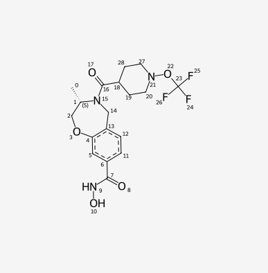 C[C@H]1COc2cc(C(=O)NO)ccc2CN1C(=O)C1CCN(OC(F)(F)F)CC1